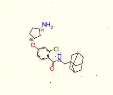 N[C@H]1CC[C@@H](Oc2ccc(C(=O)NCC34CC5CC(CC(C5)C3)C4)c(Cl)c2)C1